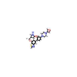 C[C@@H](Oc1cc(-c2ccc(N3CCN(C4COC4)CC3)cc2)cc2ncsc12)C1CNC(=O)C1